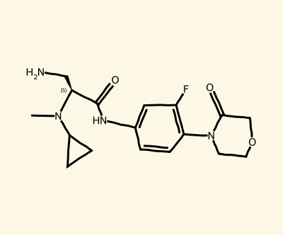 CN(C1CC1)[C@@H](CN)C(=O)Nc1ccc(N2CCOCC2=O)c(F)c1